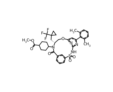 COC(=O)C1CCC(N2C(=O)c3cccc(c3)S(=O)(=O)Nc3nc(cc(-c4c(C)cccc4C)n3)OC[C@H]2CC2(C(F)(F)F)CC2)CC1